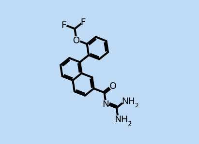 NC(N)=NC(=O)c1ccc2cccc(-c3ccccc3OC(F)F)c2c1